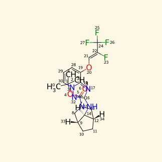 CC(C)(C)OC(=O)N1C[C@H]2CC[C@@H](C1)[C@@H]2Nc1nc2c(O/C=C(\F)C(F)(F)F)cccn2n1